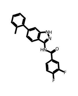 Cc1ccccc1-c1ccc2c(NC(=O)c3ccc(F)c(F)c3)n[nH]c2c1